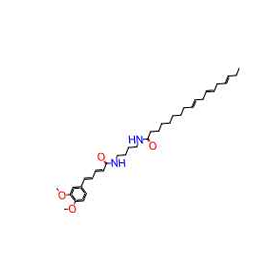 CCC=CCC=CCC=CCCCCCCCC(=O)NCCCCNC(=O)C=CC=Cc1ccc(OC)c(OC)c1